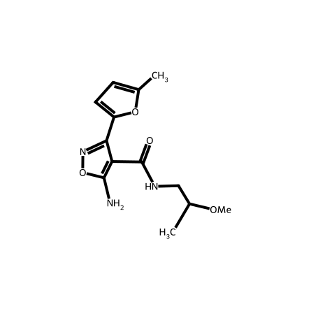 COC(C)CNC(=O)c1c(-c2ccc(C)o2)noc1N